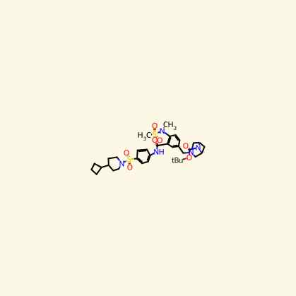 CN(c1ccc(CN2CC3CC(C2)N3C(=O)OC(C)(C)C)cc1C(=O)Nc1ccc(S(=O)(=O)N2CCC(C3CCC3)CC2)cc1)S(C)(=O)=O